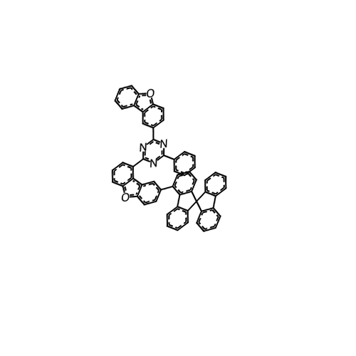 c1ccc(-c2nc(-c3ccc4oc5ccccc5c4c3)nc(-c3cccc4oc5ccc(-c6cccc7c6-c6ccccc6C76c7ccccc7-c7ccccc76)cc5c34)n2)cc1